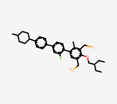 CCC(CC)COc1c(CP)cc(-c2ccc(-c3ccc(C4CCC(C)CC4)cc3)cc2F)c(C)c1CP